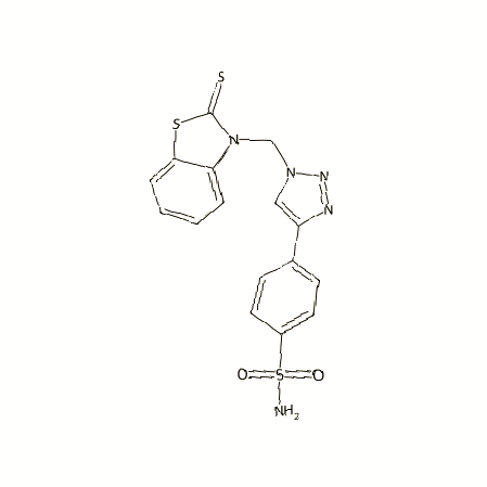 NS(=O)(=O)c1ccc(-c2cn(Cn3c(=S)sc4ccccc43)nn2)cc1